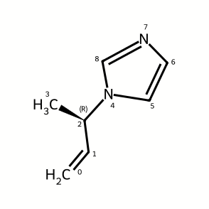 C=C[C@@H](C)n1ccnc1